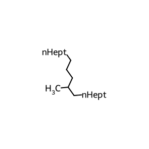 [CH2]CCCCCCCC(C)CCCCCCCCCC